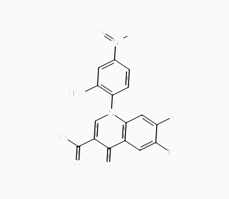 Cc1cc([N+](=O)[O-])ccc1-n1cc(C(=O)O)c(=O)c2cc(F)c(F)cc21